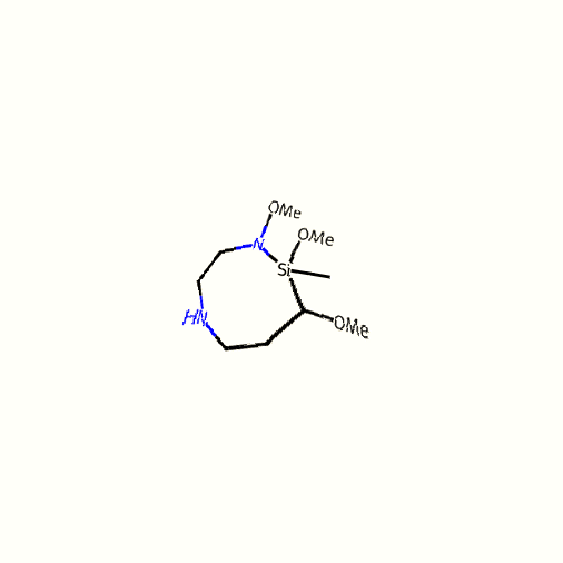 COC1CCNCCN(OC)[Si]1(C)OC